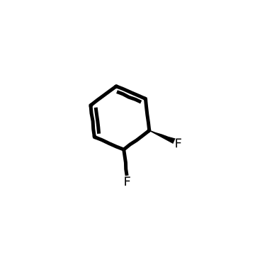 FC1C=CC=C[C@H]1F